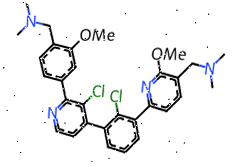 COc1cc(-c2nccc(-c3cccc(-c4ccc(CN(C)C)c(OC)n4)c3Cl)c2Cl)ccc1CN(C)C